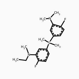 CCN(C)c1cc(S(C)(C)c2ccc(F)c(N(C)C)c2)ccc1F